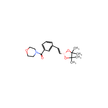 CC1(C)OB(/C=C/c2cccc(C(=O)N3CCOCC3)c2)OC1(C)C